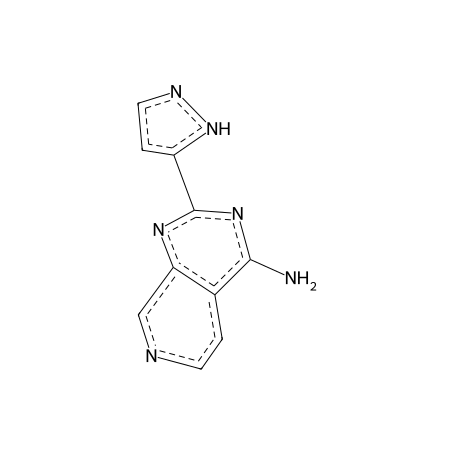 Nc1nc(-c2ccn[nH]2)nc2cnccc12